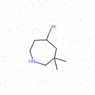 CC(C)C1CCNCC(C)(C)C1